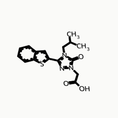 CC(C)Cn1c(-c2cc3ccccc3s2)nn(CC(=O)O)c1=O